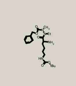 CCN(C(=O)C(N)CCCCNC(=O)OC(C)(C)C)N(C)C(=O)OCc1ccccc1